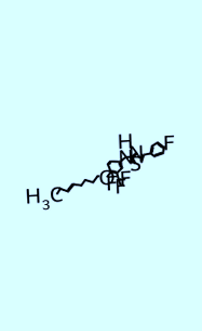 CCC=CCCCCOc1ccc(Nc2nc(-c3ccc(F)cc3)cs2)cc1C(F)(F)F